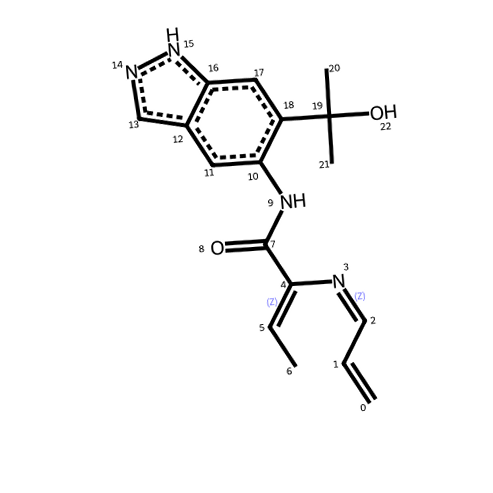 C=C/C=N\C(=C/C)C(=O)Nc1cc2cn[nH]c2cc1C(C)(C)O